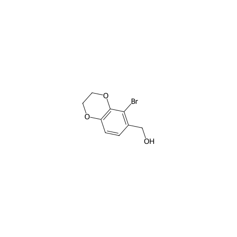 OCc1ccc2c(c1Br)OCCO2